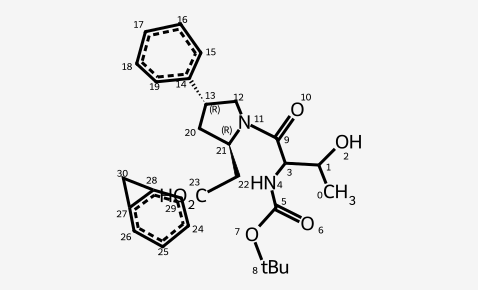 CC(O)C(NC(=O)OC(C)(C)C)C(=O)N1C[C@@H](c2ccccc2)C[C@@H]1CC(=O)O.c1ccc2c(c1)C2